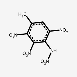 Cc1cc([N+](=O)[O-])c(N[N+](=O)[O-])c([N+](=O)[O-])c1[N+](=O)[O-]